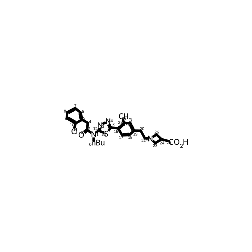 CCCCN(C(=O)Cc1ccccc1Cl)c1nnc(-c2ccc(CCN3CC(C(=O)O)C3)cc2C)s1